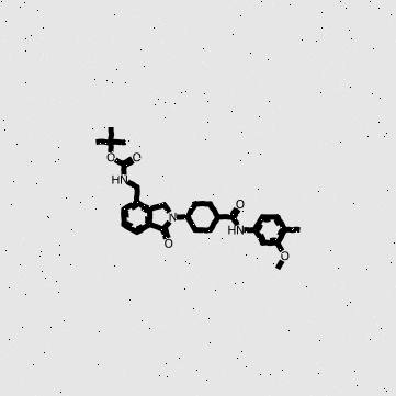 COc1cc(NC(=O)C2CCC(N3Cc4c(CNC(=O)OC(C)(C)C)cccc4C3=O)CC2)ccc1C